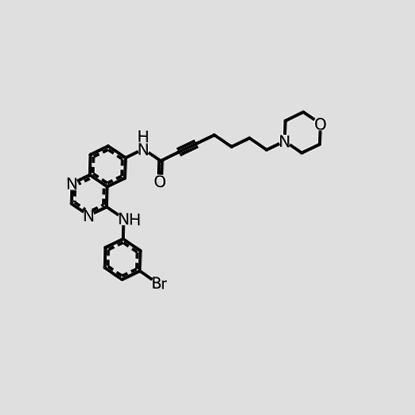 O=C(C#CCCCCN1CCOCC1)Nc1ccc2ncnc(Nc3cccc(Br)c3)c2c1